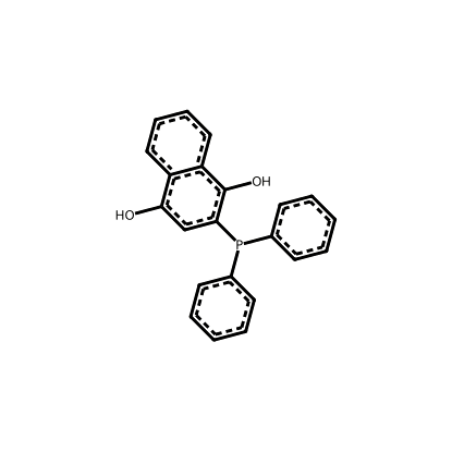 Oc1cc(P(c2ccccc2)c2ccccc2)c(O)c2ccccc12